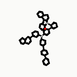 c1ccc(-c2ccc(-c3ccc(N(c4ccc(-c5ccccc5-n5c6ccccc6c6c7ccccc7ccc65)cc4)c4cccc(-c5ccc6ccccc6c5)c4)cc3)cc2)cc1